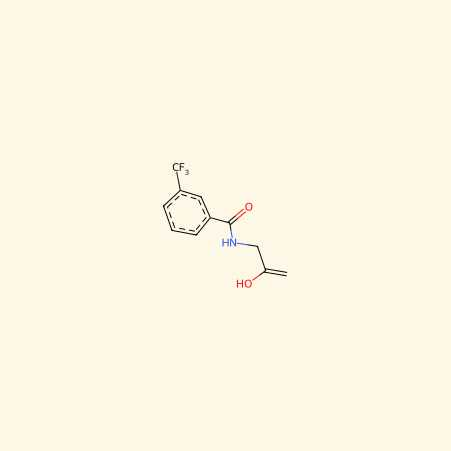 C=C(O)CNC(=O)c1cccc(C(F)(F)F)c1